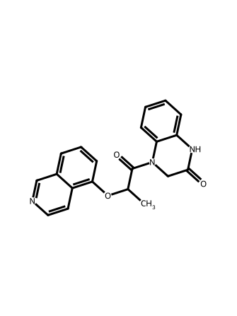 CC(Oc1cccc2cnccc12)C(=O)N1CC(=O)Nc2ccccc21